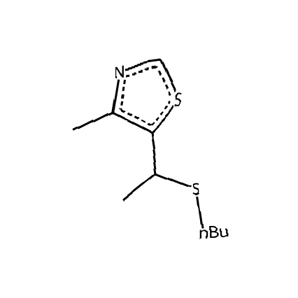 [CH2]CCCSC(C)c1scnc1C